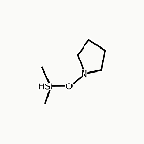 C[SiH](C)ON1CCCC1